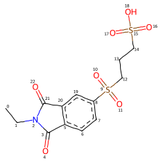 CCN1C(=O)c2ccc(S(=O)(=O)CCCS(=O)(=O)O)cc2C1=O